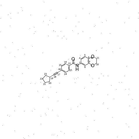 O=C(Nc1ccc2c(c1)OCCO2)c1ccc(C#CC2CCCC2)cc1